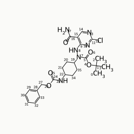 CC(C)(C)OC(=O)N(Nc1nc(Cl)ncc1C(N)=O)C1CCC(NC(=O)OCc2ccccc2)CC1